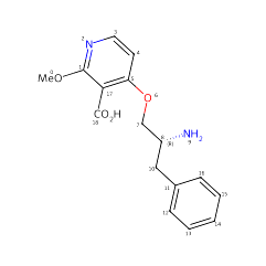 COc1nccc(OC[C@H](N)Cc2ccccc2)c1C(=O)O